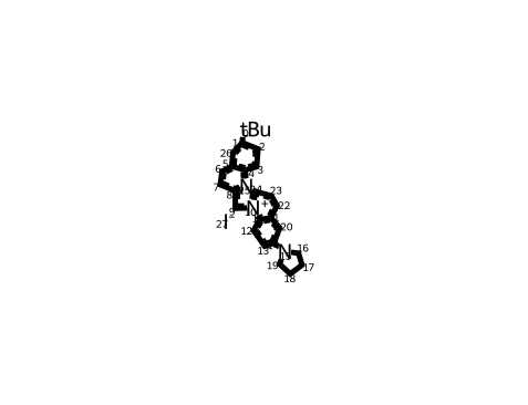 CC(C)(C)c1ccc2c(ccc3c[n+]4c5ccc(N6CCCC6)cc5ccc4n32)c1.[I-]